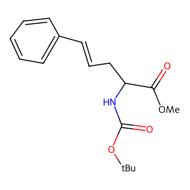 COC(=O)C(C/C=C/c1ccccc1)NC(=O)OC(C)(C)C